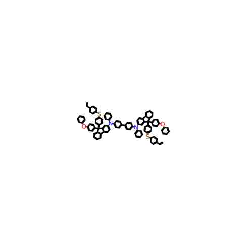 C=Cc1ccc(Sc2ccc(C3(c4ccc(Oc5ccccc5)cc4)c4ccccc4-c4ccc(N(c5ccccc5)c5ccc(-c6ccc(N(c7ccccc7)c7ccc8c(c7)C(c7ccc(Oc9ccccc9)cc7)(c7ccc(Sc9ccc(C=C)cc9)cc7)c7ccccc7-8)cc6)cc5)cc43)cc2)cc1